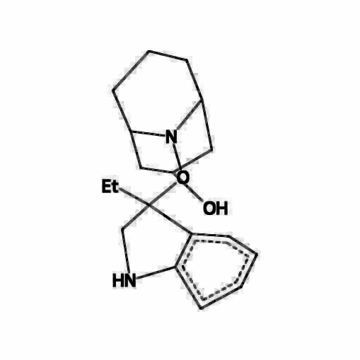 CCC1(ON2C3CCCC2CC(O)C3)CNc2ccccc21